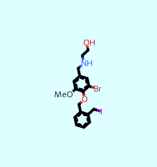 COc1cc(CNCCO)cc(Br)c1OCc1ccccc1CI